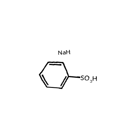 O=S(=O)(O)c1ccccc1.[NaH]